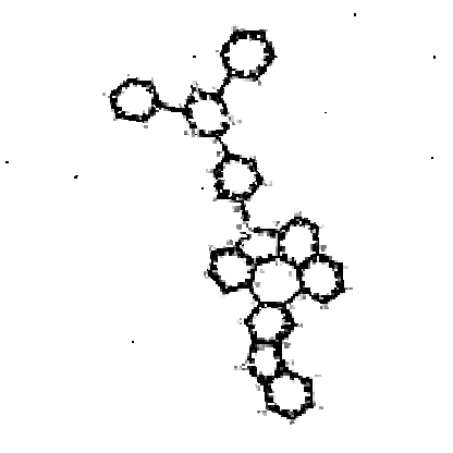 c1ccc(-c2nc(-c3ccccc3)nc(-c3ccc(-n4c5cccc6c5c5c7c(cccc7ccc54)-c4cc5c(cc4-6)sc4ccccc45)cc3)n2)cc1